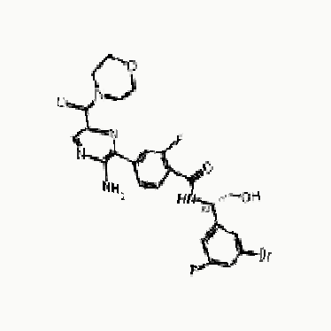 Nc1ncc(C(=O)N2CCOCC2)nc1-c1ccc(C(=O)N[C@H](CO)c2cc(F)cc(Br)c2)c(F)c1